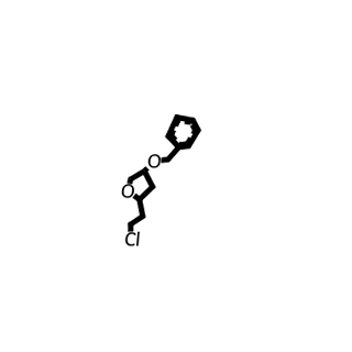 ClCCC1CC(OCc2ccccc2)CO1